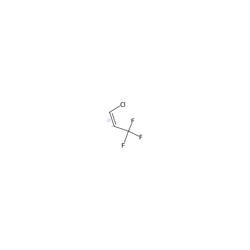 FC(F)(F)/[C]=C\Cl